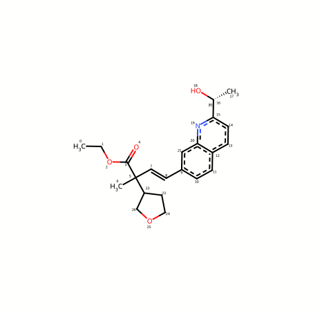 CCOC(=O)C(C)(C=Cc1ccc2ccc([C@@H](C)O)nc2c1)C1CCOC1